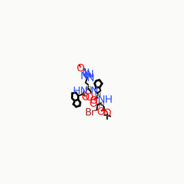 COCn1nnc(CC[C@H](NC(=O)c2cccc3ccccc23)C(=O)N2c3ccccc3C[C@H]2C(=O)N[C@@H](CC(=O)OC(C)(C)C)C(=O)CBr)n1